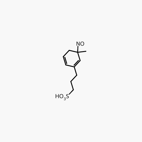 CC1(N=O)C=C(CCCS(=O)(=O)O)C=CC1